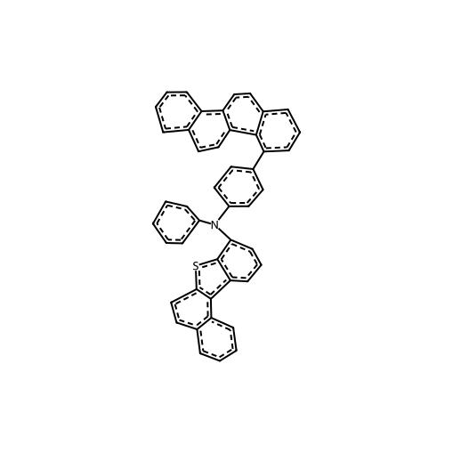 c1ccc(N(c2ccc(-c3cccc4ccc5c6ccccc6ccc5c34)cc2)c2cccc3c2sc2ccc4ccccc4c23)cc1